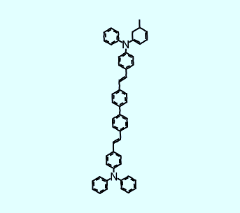 CC1C=CC=C(N(c2ccccc2)c2ccc(/C=C/c3ccc(-c4ccc(/C=C/c5ccc(N(c6ccccc6)c6ccccc6)cc5)cc4)cc3)cc2)C1